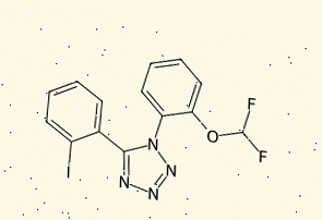 FC(F)Oc1ccccc1-n1nnnc1-c1ccccc1I